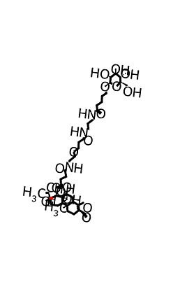 CC(C)[C@]12O[C@H]1C[C@]1(O)[C@]3(O[C@H]3CC3C4=C(CC[C@@]31C)C(=O)OC4)[C@@H]2OC(=O)CCC(=O)NCCOCCC(=O)NCCCNC(=O)CCCCO[C@@H]1O[C@H](CO)[C@@H](O)[C@H](O)[C@H]1O